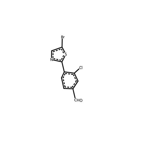 O=Cc1ccc(-c2ncc(Br)s2)c(Cl)c1